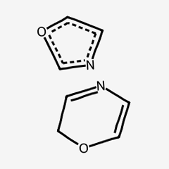 C1=COCC=N1.c1cocn1